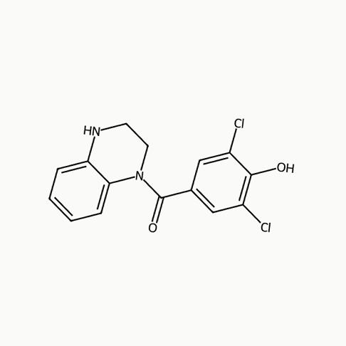 O=C(c1cc(Cl)c(O)c(Cl)c1)N1CCNc2ccccc21